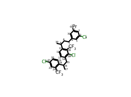 CC(C)c1cc(Cl)cc(CCC(C)c2ccc(CC(C)c3ccc(Cl)cc3C(F)(F)F)c(Cl)c2C(F)(F)F)c1